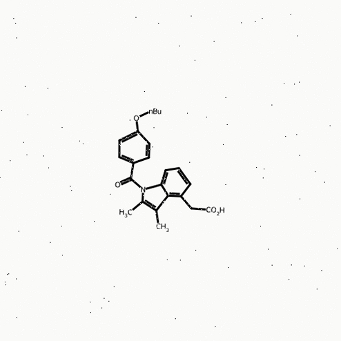 CCCCOc1ccc(C(=O)n2c(C)c(C)c3c(CC(=O)O)cccc32)cc1